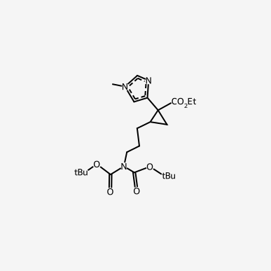 CCOC(=O)C1(c2cn(C)cn2)CC1CCCN(C(=O)OC(C)(C)C)C(=O)OC(C)(C)C